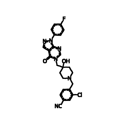 N#Cc1ccc(CN2CCC(O)(Cn3cnc4c(cnn4-c4ccc(F)cc4)c3=O)CC2)c(Cl)c1